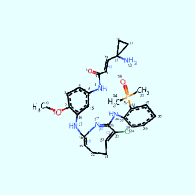 COc1ccc(NC(=O)/C=C/C2(N)CC2)cc1NC1=C/CC/C=C(Cl)/C(Nc2ccccc2P(C)(C)=O)=N\1